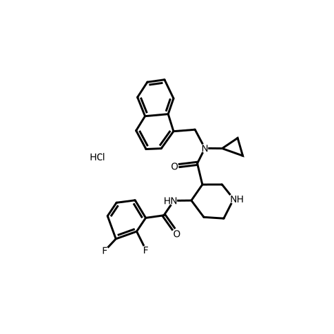 Cl.O=C(NC1CCNCC1C(=O)N(Cc1cccc2ccccc12)C1CC1)c1cccc(F)c1F